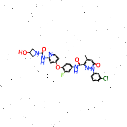 Cc1cc(=O)n(-c2cccc(Cl)c2)nc1C(=O)Nc1ccc(Oc2ccnc(NC(=O)N3CC(O)C3)c2)c(F)c1